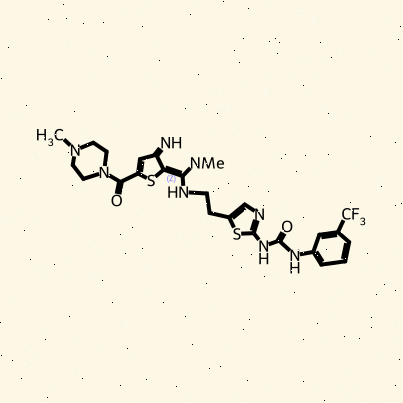 CN/C(NCCc1cnc(NC(=O)Nc2cccc(C(F)(F)F)c2)s1)=C1/SC(C(=O)N2CCN(C)CC2)=CC1=N